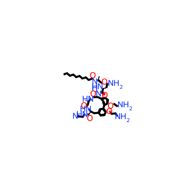 CCCCCCCCCC(=O)N[C@@H](C)C(=O)N[C@@H](CCN)C(=O)N(C)[C@@H]1C(=O)N[C@@H](C)C(=O)N[C@H](C(=O)NCC#N)Cc2ccc(OCCN)c(c2)-c2cc1ccc2OCCN